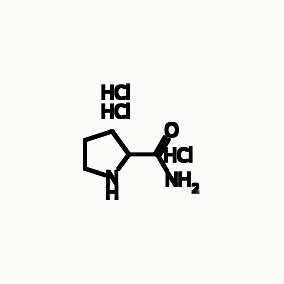 Cl.Cl.Cl.NC(=O)C1CCCN1